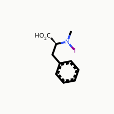 CN(I)[C@@H](Cc1ccccc1)C(=O)O